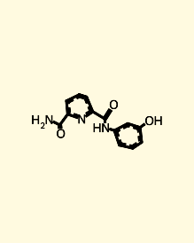 NC(=O)c1cccc(C(=O)Nc2cccc(O)c2)n1